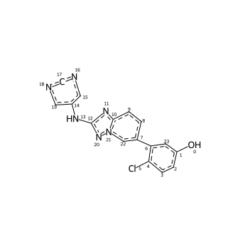 Oc1ccc(Cl)c(-c2ccc3nc(Nc4cncnc4)nn3c2)c1